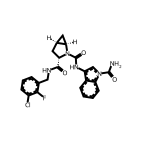 NC(=O)n1cc(NC(=O)N2[C@@H]3C[C@@H]3C[C@H]2C(=O)NCc2cccc(Cl)c2F)c2ccccc21